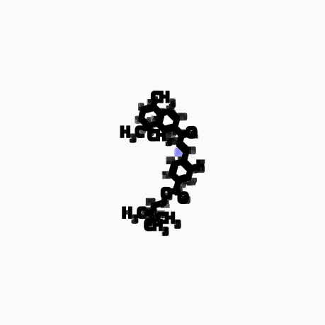 CC1=CCC(C)(C)c2cc(C(=O)/C=C/c3ccc(C(=O)OCC[Si](C)(C)C)cc3F)ccc21